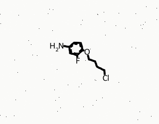 Nc1ccc(OCCCCCl)c(F)c1